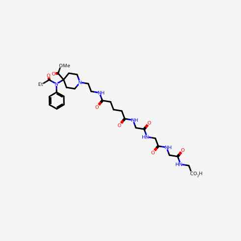 CCC(=O)N(c1ccccc1)C1(C(=O)OC)CCN(CCNC(=O)CCCC(=O)NCC(=O)NCC(=O)NCC(=O)NCC(=O)O)CC1